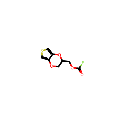 O=C(F)OCC1COc2cscc2O1